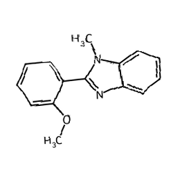 COc1ccccc1-c1nc2ccccc2n1C